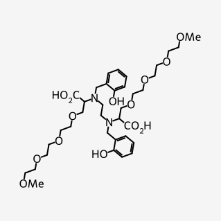 COCCOCCOCCOCC(C(=O)O)N(CCN(Cc1ccccc1O)C(COCCOCCOCCOC)C(=O)O)Cc1ccccc1O